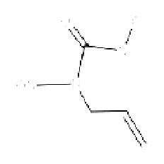 C=CCN(N=O)C(=O)[N]Cl